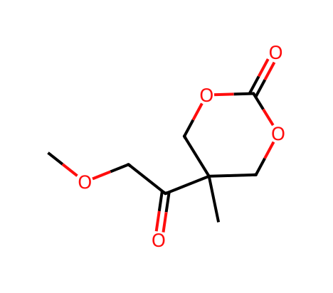 COCC(=O)C1(C)COC(=O)OC1